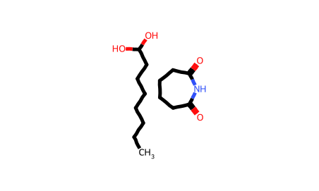 CCCCCCCC(O)O.O=C1CCCCC(=O)N1